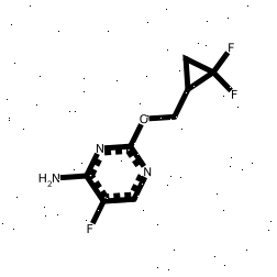 Nc1nc(OCC2CC2(F)F)ncc1F